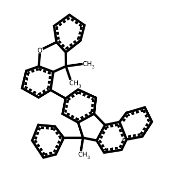 CC1(C)c2ccccc2Oc2cccc(-c3ccc4c(c3)C(C)(c3ccccc3)c3ccc5ccccc5c3-4)c21